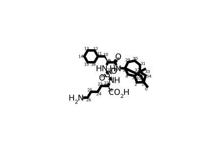 CC12CC3CC(NC(=O)[C@H](CC4CCCCC4)NS(=O)(=O)N[C@@H](CCCCN)C(=O)O)(CCCC3(C)C1)C2